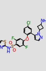 NC1CC(n2nccc2-c2cc(Cl)ccc2Oc2cc(F)c(S(=O)(=O)Nc3nccs3)cc2F)C1